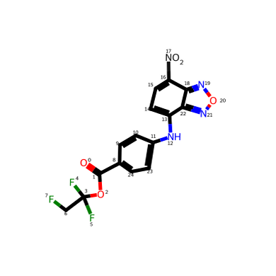 O=C(OC(F)(F)CF)c1ccc(Nc2ccc([N+](=O)[O-])c3nonc23)cc1